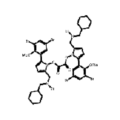 CCN(Cc1ccc(-c2cc(Br)cc(Br)c2OC)n1OC(=O)C(=O)On1c(CN(CC)CC2CCCCC2)ccc1-c1cc(Br)cc(Br)c1OC)CC1CCCCC1